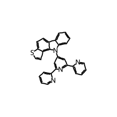 c1ccc(-c2cc(-n3c4ccccc4c4ccc5sccc5c43)cc(-c3ccccn3)n2)nc1